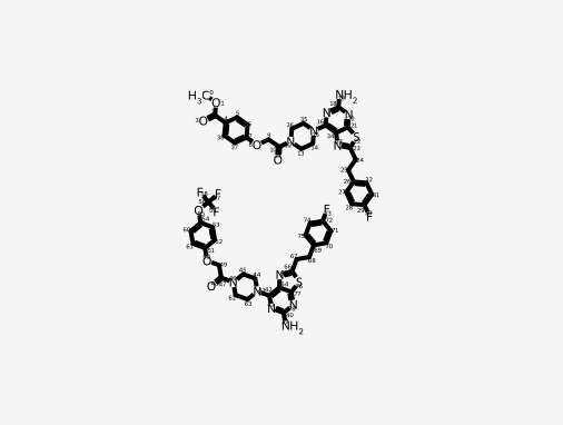 COC(=O)c1ccc(OCC(=O)N2CCN(c3nc(N)nc4sc(CCc5ccc(F)cc5)nc34)CC2)cc1.Nc1nc(N2CCN(C(=O)COc3ccc(OC(F)(F)F)cc3)CC2)c2nc(CCc3ccc(F)cc3)sc2n1